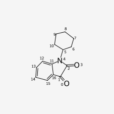 O=C1C(=O)N(C2CCCCC2)c2ccccc21